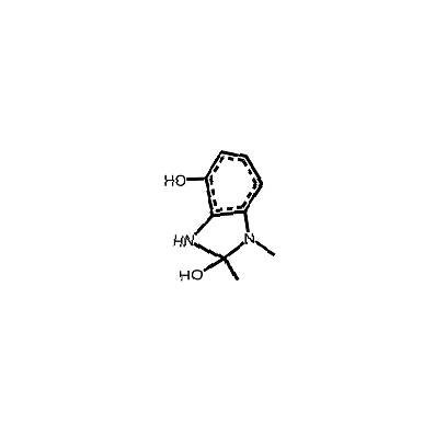 CN1c2cccc(O)c2NC1(C)O